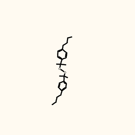 CCCCc1ccc(C(C)(C)OOC(C)(C)c2ccc(CCCC)cc2)cc1